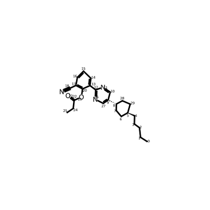 CCCCC[C@H]1CC[C@H](c2cnc(-c3cccc(C#N)c3OC(=O)CC)nc2)CC1